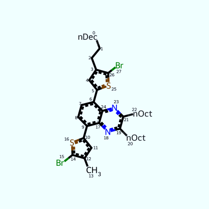 CCCCCCCCCCCCc1cc(-c2ccc(-c3cc(C)c(Br)s3)c3nc(CCCCCCCC)c(CCCCCCCC)nc23)sc1Br